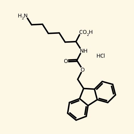 Cl.NCCCCCC(NC(=O)OCC1c2ccccc2-c2ccccc21)C(=O)O